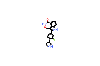 O=C1NOCc2c(-c3ccc(C4=CNCC4)c(F)c3)[nH]c3cccc1c23